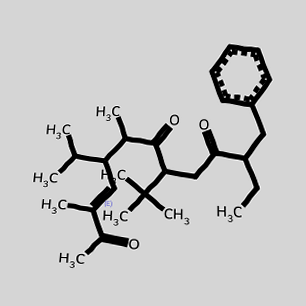 CCC(Cc1ccccc1)C(=O)CC(C(=O)C(C)C(/C=C(\C)C(C)=O)C(C)C)C(C)(C)C